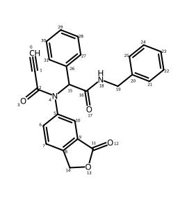 C#CC(=O)N(c1ccc2c(c1)C(=O)OC2)C(C(=O)NCc1ccccc1)c1ccccc1